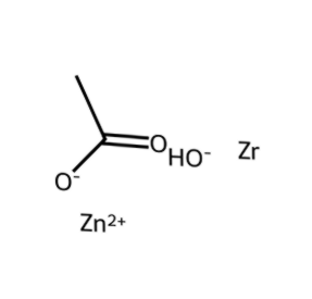 CC(=O)[O-].[OH-].[Zn+2].[Zr]